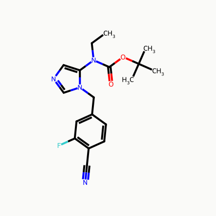 CCN(C(=O)OC(C)(C)C)c1cncn1Cc1ccc(C#N)c(F)c1